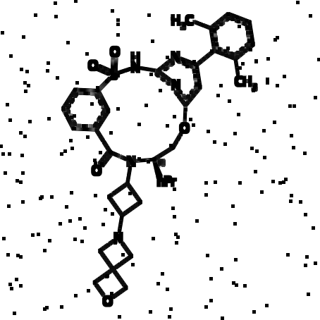 CCC[C@@H]1COc2cc(-c3c(C)cccc3C)nc(n2)NS(=O)(=O)c2cccc(c2)C(=O)N1C1CC(N2CC3(COC3)C2)C1